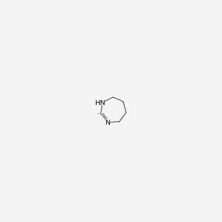 [C]1=NCCCCN1